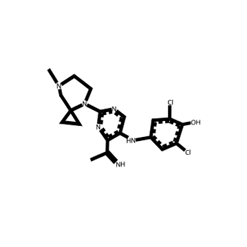 CC(=N)c1nc(N2CCN(C)CC23CC3)ncc1Nc1cc(Cl)c(O)c(Cl)c1